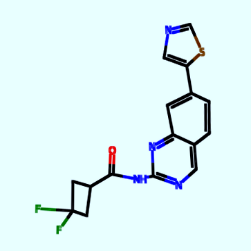 O=C(Nc1ncc2ccc(-c3cncs3)cc2n1)C1CC(F)(F)C1